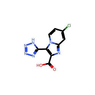 O=C(O)c1nc2cc(Cl)ccn2c1-c1nnn[nH]1